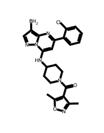 Bc1cnn2c(NC3CCN(C(=O)c4c(C)noc4C)CC3)cc(-c3ccccc3Cl)nc12